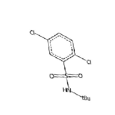 CC(C)(C)NS(=O)(=O)c1cc(Cl)ccc1Cl